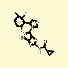 Cc1ccc(Cl)c(-c2cncn2-c2n[nH]c3nc(NC(=O)C4CC4)sc23)c1F